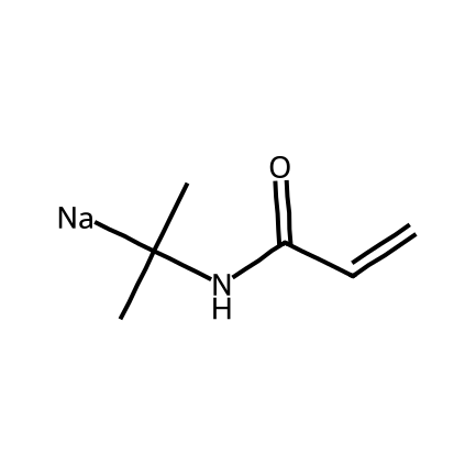 C=CC(=O)N[C](C)(C)[Na]